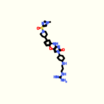 Cn1cnc([S+]([O-])N2CCC(c3ccc4c(c3)Nc3nc(=O)n(C5CCC(NCCCNC(=N)N)CC5)cc3O4)CC2)c1